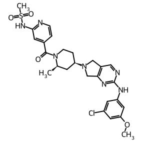 COc1cc(Cl)cc(Nc2ncc3c(n2)CN([C@@H]2CCN(C(=O)c4ccnc(NS(C)(=O)=O)c4)[C@H](C)C2)C3)c1